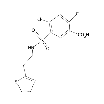 O=C(O)c1cc(S(=O)(=O)NCCc2cccs2)c(Cl)cc1Cl